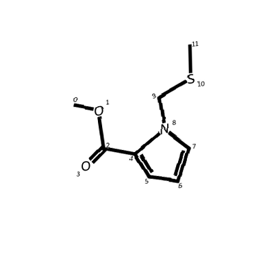 COC(=O)c1cccn1CSC